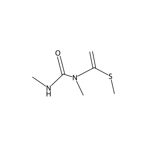 C=C(SC)N(C)C(=O)NC